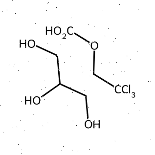 O=C(O)OCC(Cl)(Cl)Cl.OCC(O)CO